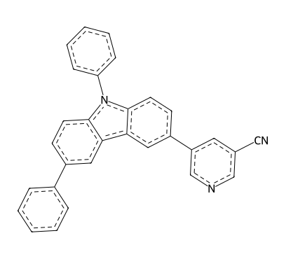 N#Cc1cncc(-c2ccc3c(c2)c2cc(-c4ccccc4)ccc2n3-c2ccccc2)c1